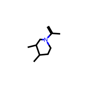 C=C(C)N1CCC(C)C(C)C1